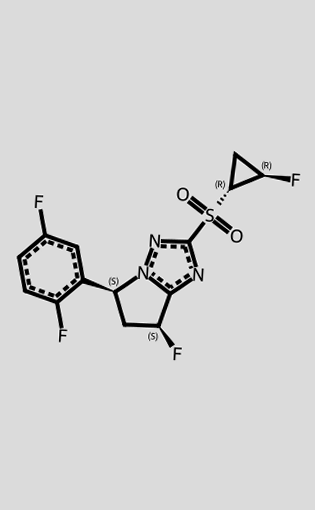 O=S(=O)(c1nc2n(n1)[C@H](c1cc(F)ccc1F)C[C@@H]2F)[C@@H]1C[C@H]1F